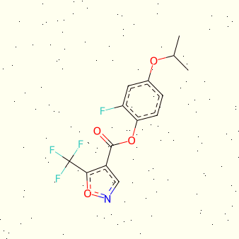 CC(C)Oc1ccc(OC(=O)c2cnoc2C(F)(F)F)c(F)c1